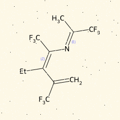 C=C(/C(CC)=C(\N=C(/C)C(F)(F)F)C(F)(F)F)C(F)(F)F